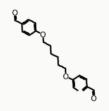 C=C(C=O)/C=C\C(=C/C)OCCCCCCOc1ccc(C=O)cc1